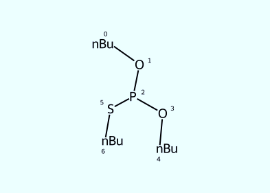 CCCCOP(OCCCC)SCCCC